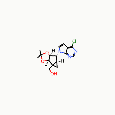 CC1(C)O[C@H]2[C@H](n3ccc4c(Cl)ncnc43)[C@H]3C[C@]3(CO)[C@H]2O1